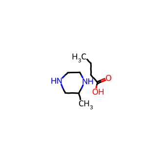 CC1CNCCN1.CCCC(=O)O